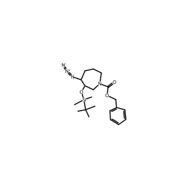 CC(C)(C)[Si](C)(C)OC1CN(C(=O)OCc2ccccc2)CCCC1N=[N+]=[N-]